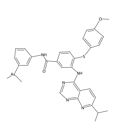 COc1ccc(Sc2ccc(C(=O)Nc3cccc([As](C)C)c3)cc2Nc2ncnc3nc(C(C)C)ccc23)cc1